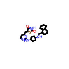 O=C1NC(=O)C(=Cc2ccnc(N[C@H]3CC[C@H](NCc4cccc5ccccc45)CC3)n2)S1